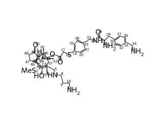 CS[C@H]1[C@H](O)[C@@](C)(CNCCCN)C[C@@H](OC(=O)CSc2ccc(CNC(=O)C(N)Cc3ccc(CN)cc3)cc2)[C@]2(C)[C@H](C)CC[C@]13CCC(=O)[C@H]32